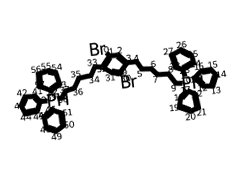 Brc1cc(CCCCCC[PH](c2ccccc2)(c2ccccc2)c2ccccc2)c(Br)cc1CCCCCC[PH](c1ccccc1)(c1ccccc1)c1ccccc1